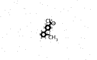 CCc1ccccc1-c1ccc(C(=O)Cl)cc1